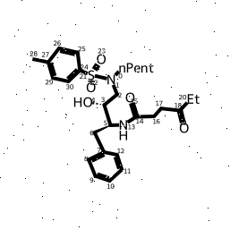 CCCCCN(C[C@@H](O)[C@H](Cc1ccccc1)NC(=O)CCC(=O)CC)S(=O)(=O)c1ccc(C)cc1